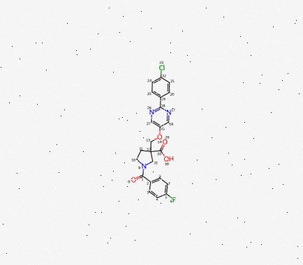 O=C(c1ccc(F)cc1)N1CCC(COc2cnc(-c3ccc(Cl)cc3)nc2)(C(=O)O)C1